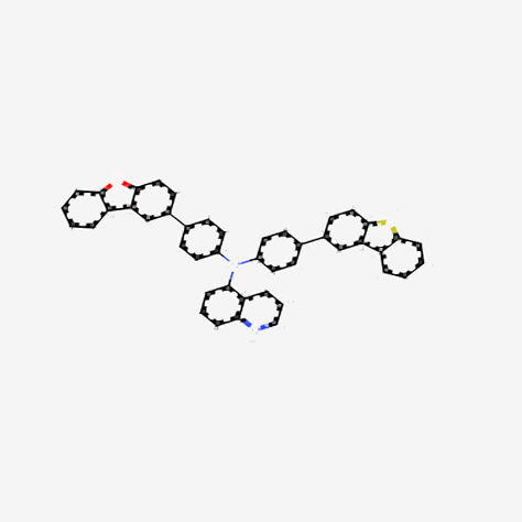 c1cc(N(c2ccc(-c3ccc4oc5ccccc5c4c3)cc2)c2ccc(-c3ccc4sc5ccccc5c4c3)cc2)c2cccnc2c1